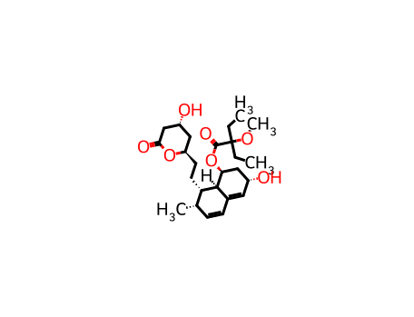 CCC(CC)(OC)C(=O)O[C@H]1C[C@H](O)C=C2C=C[C@H](C)[C@H](CC[C@@H]3C[C@@H](O)CC(=O)O3)[C@H]21